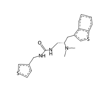 CN(C)[C@H](CNC(=O)NCc1ccsc1)Cc1csc2ccccc12